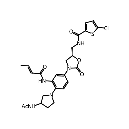 C/C=C/C(=O)Nc1cc(N2C[C@@H](CNC(=O)c3ccc(Cl)s3)OC2=O)ccc1N1CCC(NC(C)=O)C1